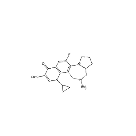 BN1Cc2c(c(F)cc3c(=O)c(C=O)cn(C4CC4)c23)N2CCCC2C1